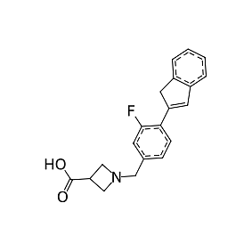 O=C(O)C1CN(Cc2ccc(C3=Cc4ccccc4C3)c(F)c2)C1